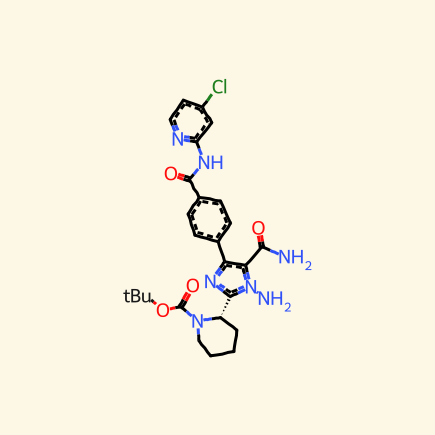 CC(C)(C)OC(=O)N1CCCC[C@H]1c1nc(-c2ccc(C(=O)Nc3cc(Cl)ccn3)cc2)c(C(N)=O)n1N